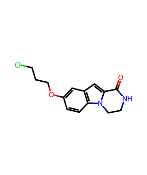 O=C1NCCn2c1cc1cc(OCCCCl)ccc12